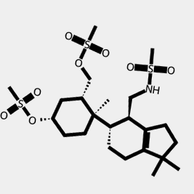 CC1(C)CCC2=C1CC[C@H]([C@@]1(C)CC[C@H](OS(C)(=O)=O)C[C@@H]1COS(C)(=O)=O)[C@H]2CNS(C)(=O)=O